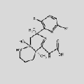 C[C@@]1(c2nc(Br)ccc2F)CS2(O)NCCC[C@]2(C)C(NC(=O)O)=N1